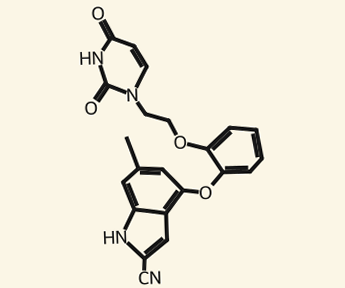 Cc1cc(Oc2ccccc2OCCn2ccc(=O)[nH]c2=O)c2cc(C#N)[nH]c2c1